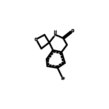 O=C1Cc2cc(Br)ccc2C2(COC2)N1